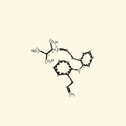 C=CCc1ccccc1Oc1ccccc1CC=C.O=C(O)CC(C(=O)O)S(=O)(=O)O